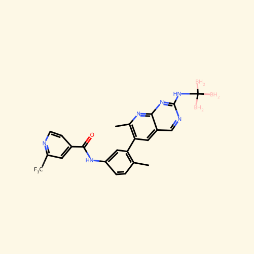 BC(B)(B)Nc1ncc2cc(-c3cc(NC(=O)c4ccnc(C(F)(F)F)c4)ccc3C)c(C)nc2n1